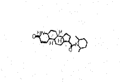 CC1CCCC(C)N1C(=O)C1CC[C@H]2[C@@H]3CCC4NC(=O)C=C[C@]4(C)[C@@H]3CC[C@]12C